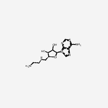 NCCBCC1OC(n2cnc3c(N)ncnc32)C(O)C1O